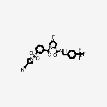 N#CC1CN(S(=O)(=O)c2cccc(C(=O)N3C[C@H](F)C[C@@H]3C(=O)NCc3ccc(C(F)(F)F)cc3)c2)C1